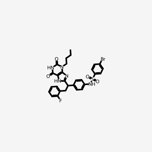 CCCCn1c(=O)[nH]c(=O)c2[nH]c(C(Cc3ccccc3F)c3ccc(NS(=O)(=O)c4ccc(Br)cc4)cc3)nc21